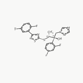 C[C@@H](Sc1nc(-c2cc(F)ccc2F)ns1)[C@](O)(Cn1cncn1)c1ccc(F)cc1F